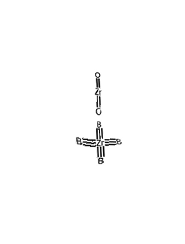 [B]#[Zr](#[B])(#[B])#[B].[O]=[Zr]=[O]